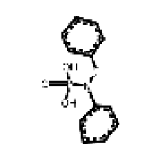 O=P(O)(O)N(Oc1ccccc1)c1ccccc1